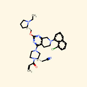 C=CC(=O)N1CCN(c2nc(OC[C@@H]3CCCN3CC)nc3c2CCN(c2cccc4cccc(Cl)c24)C3)C[C@@H]1CC#N